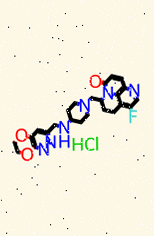 Cl.O=c1ccc2ncc(F)c3c2n1C(CN1CCC(NCc2cc4c(nn2)OCCO4)CC1)CC3